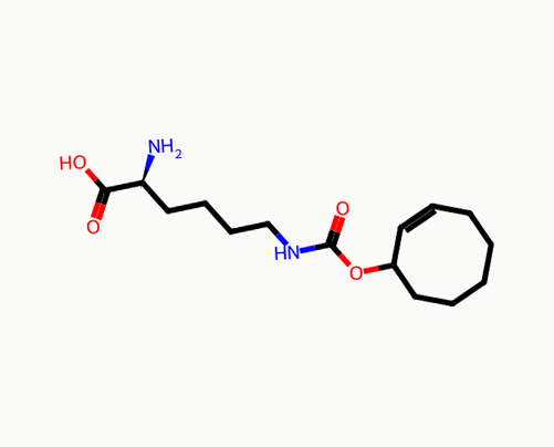 N[C@@H](CCCCNC(=O)OC1/C=C\CCCCC1)C(=O)O